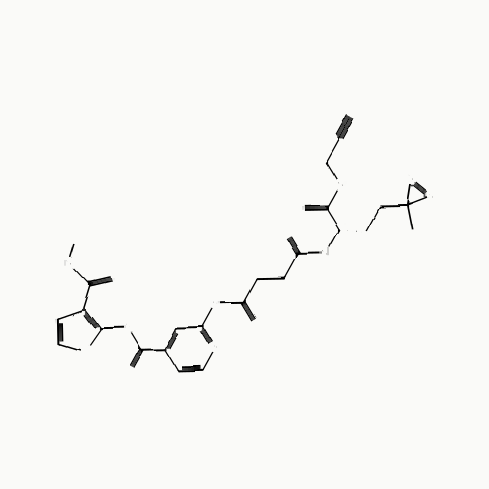 C#CCNC(=O)[C@H](CCC1(C)N=N1)NC(=O)CCC(=O)Nc1cc(C(=O)Nc2sccc2C(=O)NC(=O)OCC)ccn1